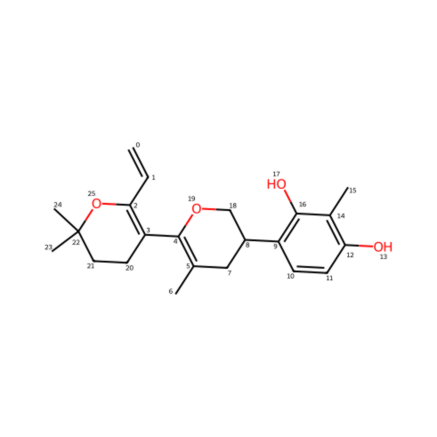 C=CC1=C(C2=C(C)CC(c3ccc(O)c(C)c3O)CO2)CCC(C)(C)O1